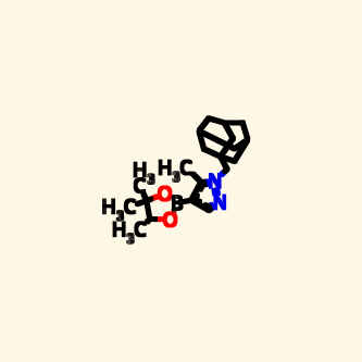 Cc1c(B2OC(C)C(C)(C)O2)cnn1CC12CC3CC(CC(C3)C1)C2